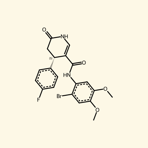 COc1cc(Br)c(NC(=O)C2=CNC(=O)C[C@H]2c2ccc(F)cc2)cc1OC